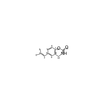 CC(C)=Cc1ccc2c(c1)CNC(=O)O2